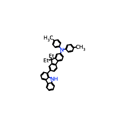 CCC1(CC)c2cc(-c3cccc4c3[nH]c3ccccc34)ccc2-c2ccc(N(c3ccc(C)cc3)c3ccc(C)cc3)cc21